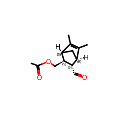 CC(=O)OC[C@@H]1[C@@H](C=O)[C@H]2C[C@@H]1C(C)=C2C